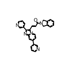 O=C(/C=C/c1c(-c2cccnc2)nc2cc(-c3cccnc3)ccn12)N1Cc2ccccc2C1